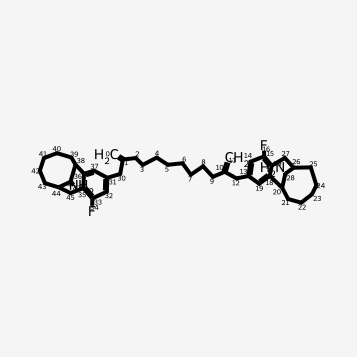 C=C(CCCCCCCCC(=C)Cc1cc(F)c2c(c1)C1CCCCCC(C2)C1N)Cc1cc(F)c2c(c1)C1CCCCCC(C2)C1N